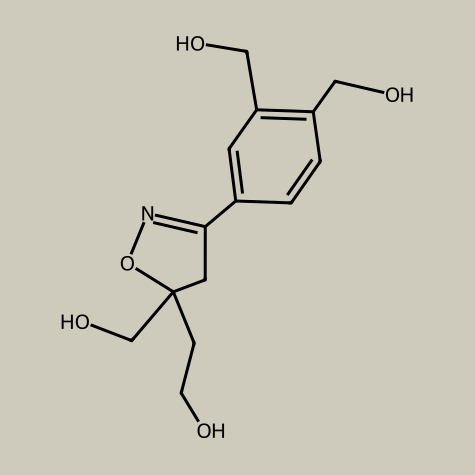 OCCC1(CO)CC(c2ccc(CO)c(CO)c2)=NO1